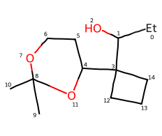 CCC(O)C1(C2CCOC(C)(C)O2)CCC1